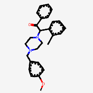 COc1ccc(CN2CCN(C(C(=O)c3ccccc3)c3ccccc3C)CC2)cc1